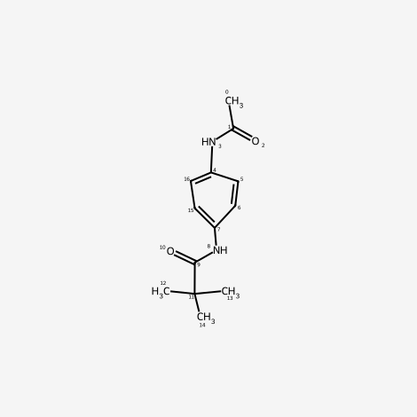 CC(=O)Nc1ccc(NC(=O)C(C)(C)C)cc1